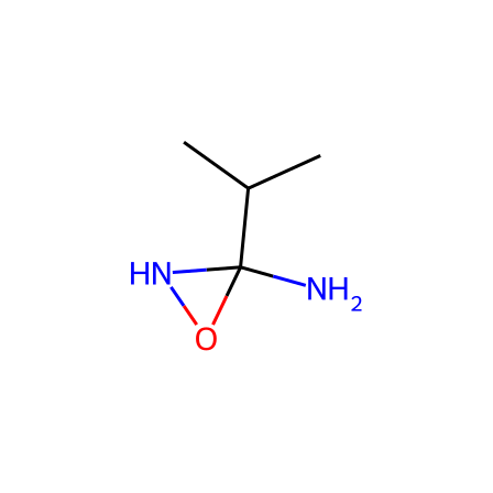 CC(C)C1(N)NO1